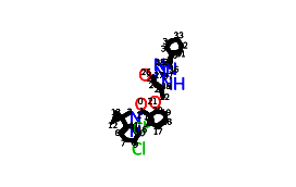 O=C(NCC1(C2=CCC(Cl)C=C2)CC1)C1=C(Cl)C=CCC1OCc1cc(=O)n2nc(C3=CCCCC3)nc2[nH]1